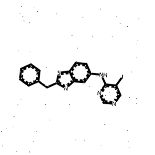 Ic1cncnc1Nc1ccc2sc(Cc3ccccc3)nc2c1